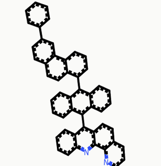 c1ccc(-c2ccc3ccc4c(-c5c6ccccc6c(-c6c7ccccc7nc7c6ccc6cccnc67)c6ccccc56)cccc4c3c2)cc1